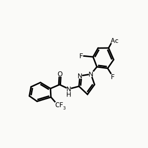 CC(=O)c1cc(F)c(-n2ccc(NC(=O)c3ccccc3C(F)(F)F)n2)c(F)c1